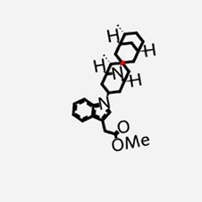 COC(=O)Cc1cn([C@@H]2C[C@@H]3CC[C@@H](C)[C@H](C2)N3[C@H]2C[C@@H]3CC[C@@H](C)[C@@H](C3)C2)c2ccccc12